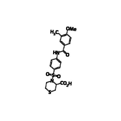 COc1ccc(C(=O)Nc2ccc(S(=O)(=O)N3CCSCC3C(=O)O)cc2)cc1C